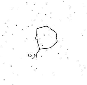 O=[N+]([O-])[C]1CCCCCC1